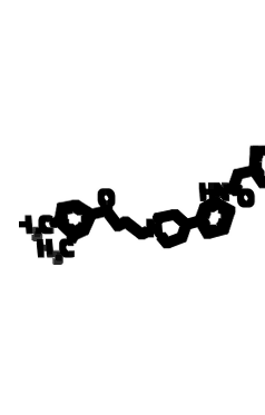 Cc1ccc(C(=O)CCCN2CCC(c3cccc(NC(=O)Cc4ccccc4)c3)CC2)cc1C